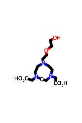 O=C(O)CN1CCN(CCOCCO)CCN(CC(=O)O)CC1